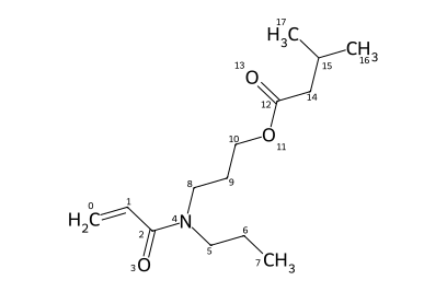 C=CC(=O)N(CCC)CCCOC(=O)CC(C)C